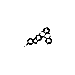 Nc1ccc2c(c1)Cc1cc3c(cc1-2)Oc1cccc2c1B3c1ccccc1N2